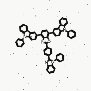 c1ccc(-n2c(-c3ccc(-c4nc5c(-c6ccc7c(c6)c6ccccc6n7-c6ccccc6)ccc(-c6ccc7c(c6)c6ccccc6n7-c6ccccc6)c5s4)cc3)nc3ccccc32)cc1